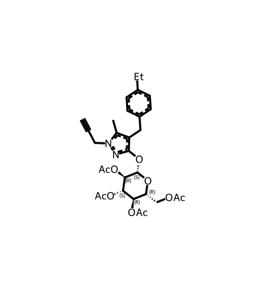 C#CCn1nc(O[C@@H]2O[C@H](COC(C)=O)[C@@H](OC(C)=O)[C@H](OC(C)=O)[C@H]2OC(C)=O)c(Cc2ccc(CC)cc2)c1C